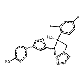 C[C@@H](c1cc(-c2ccc(O)cc2)no1)[C@](O)(Cn1cncn1)c1ccc(F)cc1F